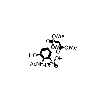 CC(=O)Nc1c(O)cccc1[As](=O)(O)O.COC(=O)CP(=O)(OC)OC